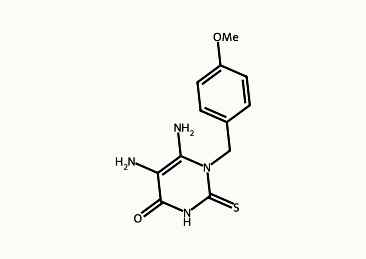 COc1ccc(Cn2c(N)c(N)c(=O)[nH]c2=S)cc1